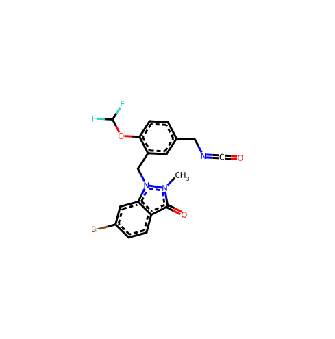 Cn1c(=O)c2ccc(Br)cc2n1Cc1cc(CN=C=O)ccc1OC(F)F